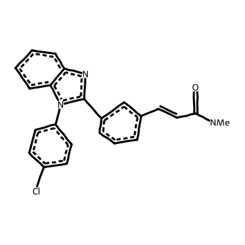 CNC(=O)/C=C/c1cccc(-c2nc3ccccc3n2-c2ccc(Cl)cc2)c1